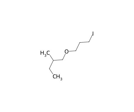 CCC(C)COCCCI